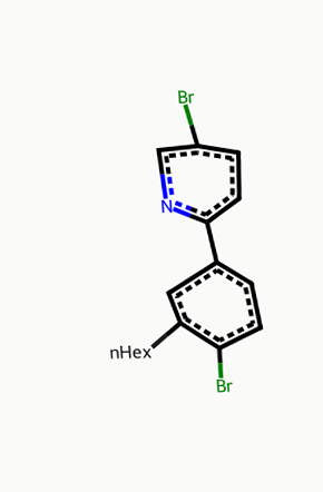 CCCCCCc1cc(-c2ccc(Br)cn2)ccc1Br